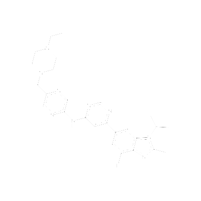 CCN1CCN(Cc2cnc(Nc3cc(-c4cc(F)c5nc(C)n(C(C)C)c5c4)ncn3)cn2)CC1